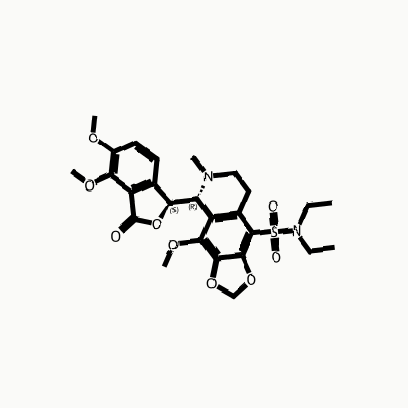 CCN(CC)S(=O)(=O)c1c2c(c(OC)c3c1OCO3)[C@H]([C@H]1OC(=O)c3c1ccc(OC)c3OC)N(C)CC2